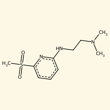 CN(C)CCNc1cccc(S(C)(=O)=O)n1